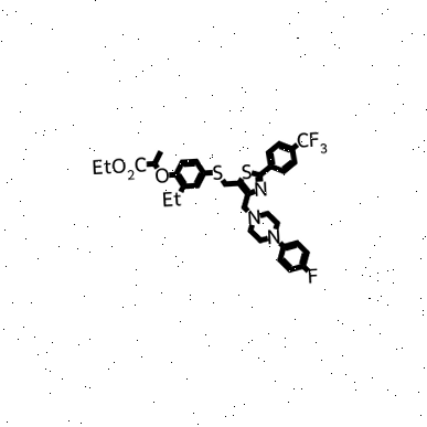 CCOC(=O)C(C)Oc1ccc(SCc2sc(-c3ccc(C(F)(F)F)cc3)nc2CN2CCN(c3ccc(F)cc3)CC2)cc1CC